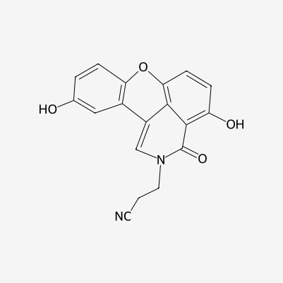 N#CCCn1cc2c3c(ccc(O)c3c1=O)Oc1ccc(O)cc1-2